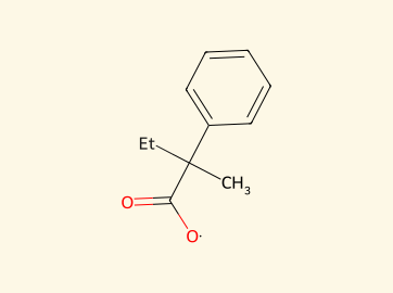 CCC(C)(C([O])=O)c1ccccc1